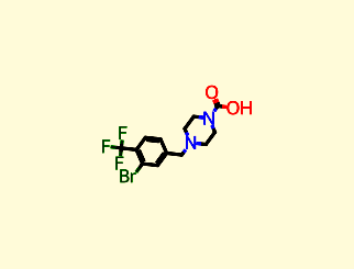 O=C(O)N1CCN(Cc2ccc(C(F)(F)F)c(Br)c2)CC1